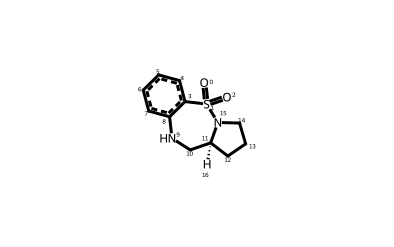 O=S1(=O)c2ccccc2NC[C@@H]2CCCN21